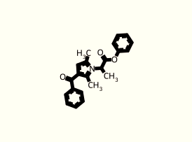 Cc1cc(C(=O)c2ccccc2)c(C)n1C(C)C(=O)Oc1ccccc1